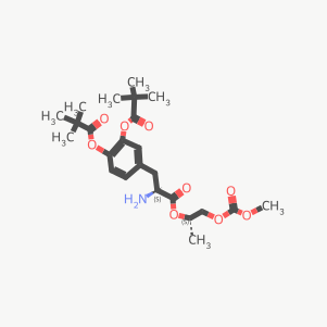 COC(=O)OC[C@H](C)OC(=O)[C@@H](N)Cc1ccc(OC(=O)C(C)(C)C)c(OC(=O)C(C)(C)C)c1